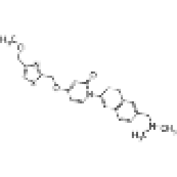 COCc1csc(COc2ccn(C3=Cc4ccc(CN(C)C)cc4CC3)c(=O)c2)n1